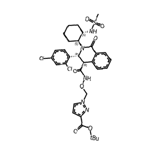 CC(C)(C)OC(=O)c1ccn(CONC(=O)[C@@H]2c3ccccc3C(=O)N([C@H]3CCCC[C@@H]3NS(C)(=O)=O)[C@H]2c2ccc(Cl)cc2Cl)n1